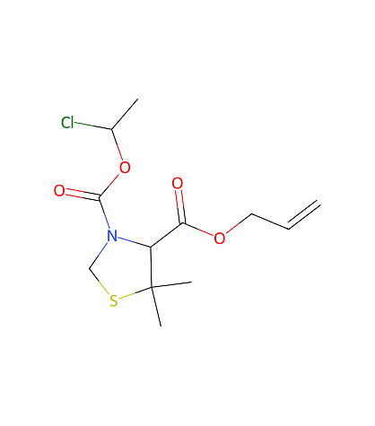 C=CCOC(=O)C1N(C(=O)OC(C)Cl)CSC1(C)C